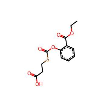 CCOC(=O)c1ccccc1OC(=O)SCCC(=O)O